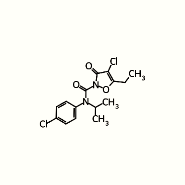 CCc1on(C(=O)N(c2ccc(Cl)cc2)C(C)C)c(=O)c1Cl